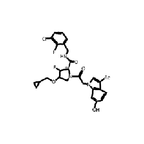 CC(=O)c1cn(CC(=O)N2CC(OCC3CC3)C(F)[C@H]2C(=O)NCc2cccc(Cl)c2F)c2cc(O)ccc12